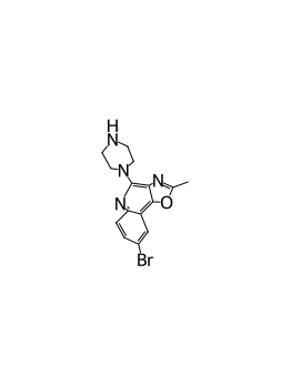 Cc1nc2c(N3CCNCC3)nc3ccc(Br)cc3c2o1